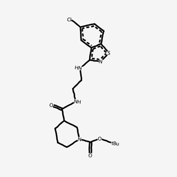 CC(C)(C)OC(=O)N1CCCC(C(=O)NCCNc2nsc3ccc(Cl)cc23)C1